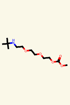 COC(=O)OCCOCCOCCNC(C)(C)C